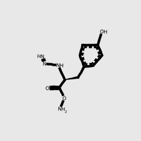 N=NN[C@@H](Cc1ccc(O)cc1)C(=O)ON